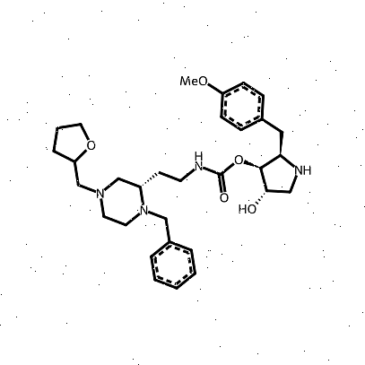 COc1ccc(C[C@H]2NC[C@H](O)[C@H]2OC(=O)NCC[C@H]2CN(CC3CCCO3)CCN2Cc2ccccc2)cc1